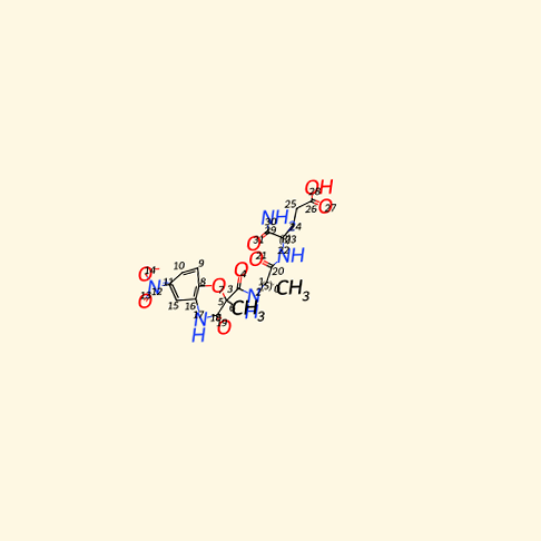 C[C@H](NC(=O)C1(C)Oc2ccc([N+](=O)[O-])cc2NC1=O)C(=O)N[C@H](CCC(=O)O)C(N)=O